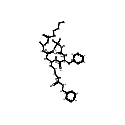 CCCCOC(=O)CN(C)NC(=O)C[C@H](CCCNC(=O)OCc1ccccc1)NC(=O)[C@H](Cc1ccccc1)NC(=O)OC(C)(C)C